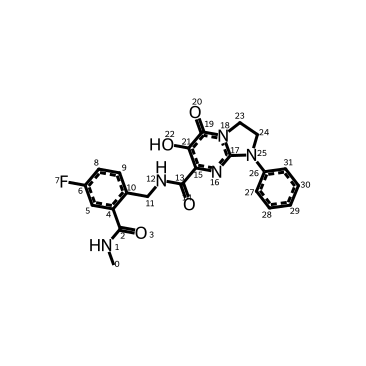 CNC(=O)c1cc(F)ccc1CNC(=O)c1nc2n(c(=O)c1O)CCN2c1ccccc1